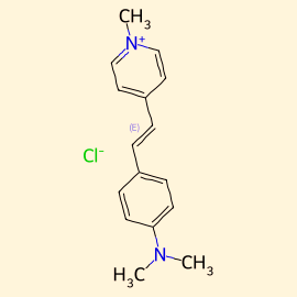 CN(C)c1ccc(/C=C/c2cc[n+](C)cc2)cc1.[Cl-]